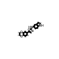 c1cc2[nH]ncc2cc1Nc1ncc(-c2ccc3c(c2)OCCO3)o1